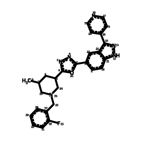 CC1CC(c2nnc(-c3ccc4[nH]nc(-c5ccncc5)c4c3)o2)CN(Cc2ccccc2F)C1